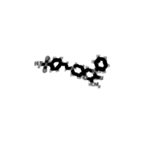 CC1OC2(CCN(CCc3ccc(S(N)(=O)=O)cc3)CC2)CN(c2ccccc2)C1=O